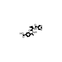 CC([AsH]C(=O)C1(NC(=O)c2cncnc2)CC1)c1ccc(C(=O)O)cc1